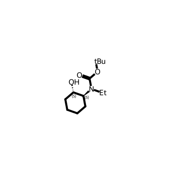 CCN(C(=O)OC(C)(C)C)[C@H]1CCCC[C@@H]1O